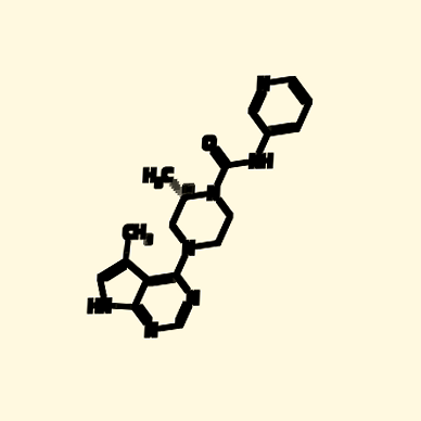 Cc1c[nH]c2ncnc(N3CCN(C(=O)Nc4cccnc4)[C@@H](C)C3)c12